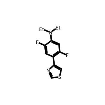 CCN(CC)c1cc(F)c(-c2cs[c]n2)cc1F